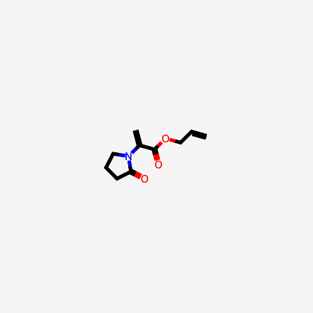 C=CCOC(=O)C(=C)N1CCCC1=O